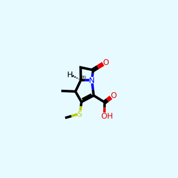 CSC1=C(C(=O)O)N2C(=O)C[C@@H]2C1C